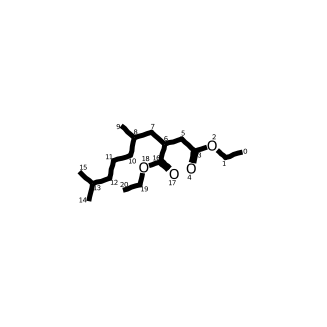 CCOC(=O)CC(CC(C)CCCC(C)C)C(=O)OCC